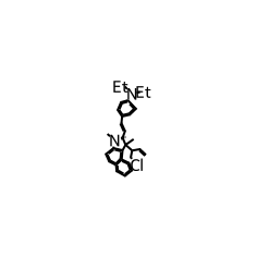 C=CC(CCl)C1(C)C(/C=C/c2ccc(N(CC)CC)cc2)=[N+](C)c2ccc3ccccc3c21